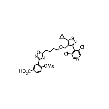 COc1ccc(C(=O)O)cc1-c1noc(CCCCOCc2c(-c3c(Cl)cncc3Cl)noc2C2CC2)n1